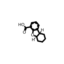 O=C(O)c1cccc2c1O[C@@H]1CCCC[C@@H]21